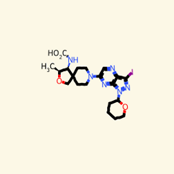 C[C@@H]1OCC2(CCN(c3cnc4c(I)nn(C5CCCCO5)c4n3)CC2)[C@@H]1NC(=O)O